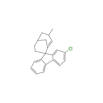 CC1C=C2CC(CCC23c2ccccc2-c2ccc(Cl)cc23)C1